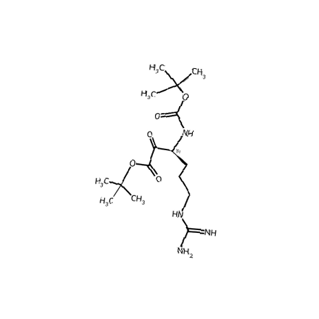 CC(C)(C)OC(=O)N[C@@H](CCCNC(=N)N)C(=O)C(=O)OC(C)(C)C